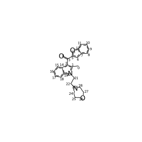 Cc1c(C(=O)c2cc3ccccc3o2)c2ccccc2n1CCN1CCOCC1